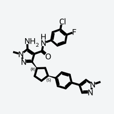 Cn1cc(-c2ccc([C@H]3CC[C@@H](c4nn(C)c(N)c4C(=O)Nc4ccc(F)c(Cl)c4)C3)cc2)cn1